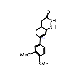 COc1cc(/C(C)=C/C2NNC(=O)CC2C)ccc1SC